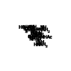 CC(=O)N[C@H](C(=O)N[C@@H](CCCNC(=N)N)C(=O)N[C@@H](CCC(N)=O)C(=O)N(C)[C@@H](CCCNC(=N)N)C(=O)N[C@@H](Cc1c(C)cc(O)cc1C)C(N)=O)[C@@H](C)O